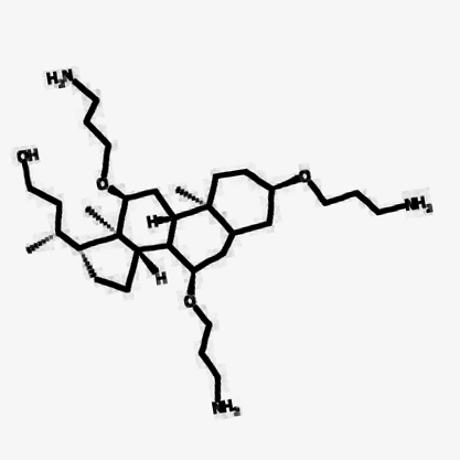 C[C@H](CCO)[C@H]1CC[C@H]2C3[C@H](OCCCN)CC4C[C@H](OCCCN)CC[C@]4(C)[C@H]3C[C@H](OCCCN)[C@]12C